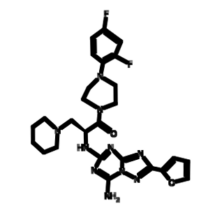 Nc1nc(N[C@@H](CN2CCCCC2)C(=O)N2CCN(c3ccc(F)cc3F)CC2)nc2nc(-c3ccco3)nn12